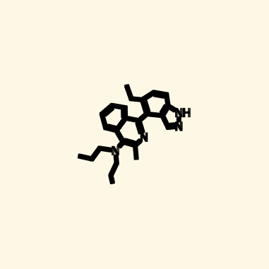 CCCN(CCC)c1c(C)nc(-c2c(CC)ccc3[nH]ncc23)c2ccccc12